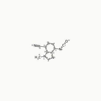 Cn1cnc2c(N=C=O)ccc(C#N)c21